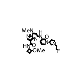 CNc1cc(Nc2cccn([C@H]3CCN(CCF)C3)c2=O)nc2c(C(=O)N[C@H]3CC[C@@H]3OC)cnn12